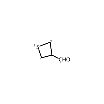 O=CC1CSC1